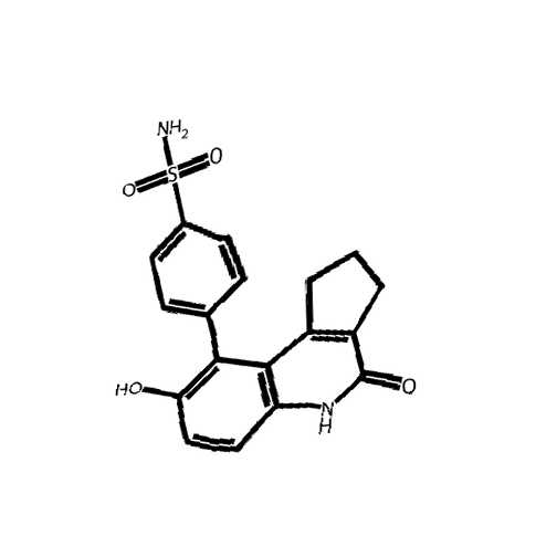 NS(=O)(=O)c1ccc(-c2c(O)ccc3[nH]c(=O)c4c(c23)CCC4)cc1